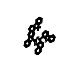 CC1(C)c2ccccc2-c2ccc3cc4c5ccccc5n(-c5nc(-c6cccc7c6sc6ccccc67)c6ccc7ccccc7c6n5)c4cc3c21